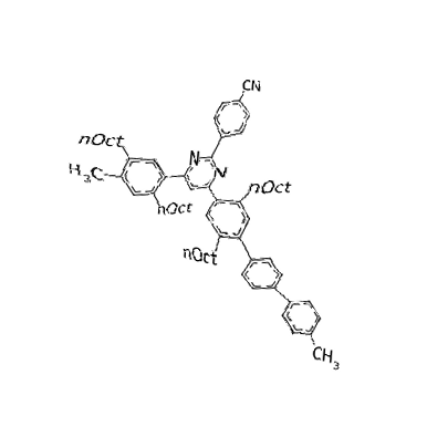 CCCCCCCCc1cc(-c2cc(-c3cc(CCCCCCCC)c(-c4ccc(-c5ccc(C)cc5)cc4)cc3CCCCCCCC)nc(-c3ccc(C#N)cc3)n2)c(CCCCCCCC)cc1C